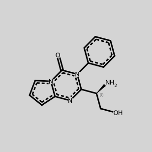 N[C@@H](CO)c1nc2cccn2c(=O)n1-c1ccccc1